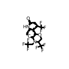 O=c1cc(C(F)(F)F)c2c3c(ccc2[nH]1)N(CC(F)(F)F)C(C(F)(F)F)CO3